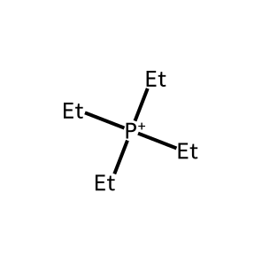 [CH2-]C[P+](CC)(CC)CC